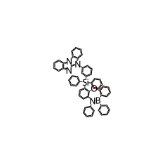 c1ccc(B2c3ccccc3Oc3c(cccc3[Si](c3ccccc3)(c3ccccc3)c3cccc(-n4c5ccccc5n5c6ccccc6nc45)c3)N2c2ccccc2)cc1